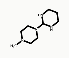 CN1CCN(C2NCCCN2)CC1